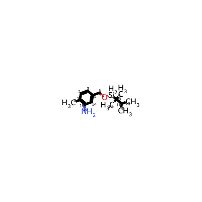 Cc1ccc(CO[SiH2]C(C)(C)C(C)C)cc1N